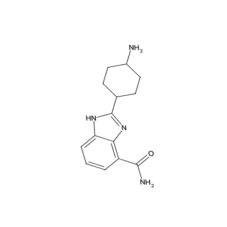 NC(=O)c1cccc2[nH]c(C3CCC(N)CC3)nc12